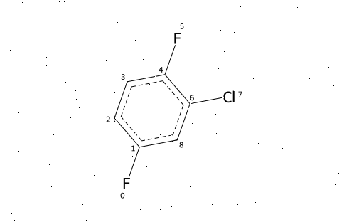 Fc1[c]cc(F)c(Cl)c1